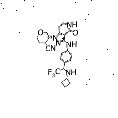 N#CC1CCOC[C@@H]1n1nc(Nc2ccc(C(NC3CCC3)C(F)(F)F)cc2)c2c(=O)[nH]ccc21